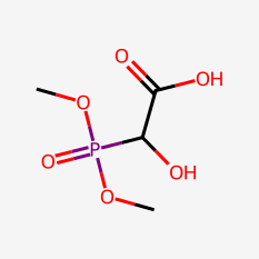 COP(=O)(OC)C(O)C(=O)O